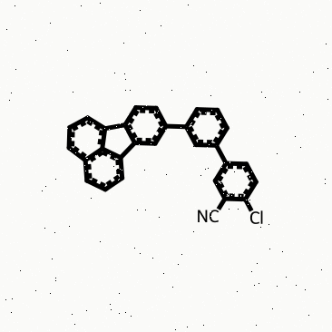 N#Cc1cc(-c2cccc(-c3ccc4c(c3)-c3cccc5cccc-4c35)c2)ccc1Cl